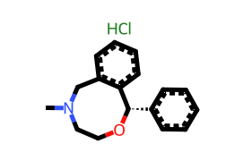 CN1CCO[C@@H](c2ccccc2)c2ccccc2C1.Cl